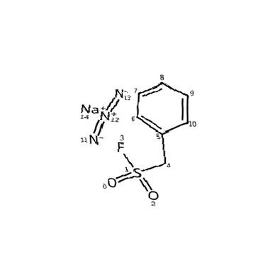 O=S(=O)(F)Cc1ccccc1.[N-]=[N+]=[N-].[Na+]